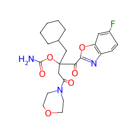 NC(=O)OC(CC(=O)N1CCOCC1)(CC1CCCCC1)C(=O)c1nc2ccc(F)cc2o1